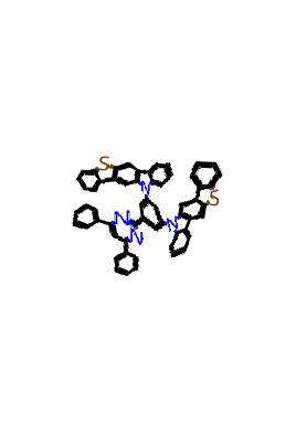 c1ccc(-c2cc(-c3ccccc3)nc(-c3cc(-n4c5ccccc5c5cc6sc7ccccc7c6cc54)cc(-n4c5ccccc5c5cc6sc7ccccc7c6cc54)c3)n2)cc1